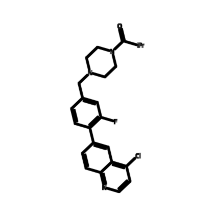 CC(C)C(=O)N1CCN(Cc2ccc(-c3ccc4nccc(Cl)c4c3)c(F)c2)CC1